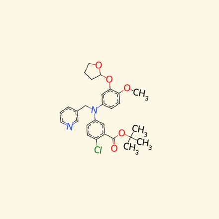 COc1ccc(N(Cc2cccnc2)c2ccc(Cl)c(C(=O)OC(C)(C)C)c2)cc1OC1CCCO1